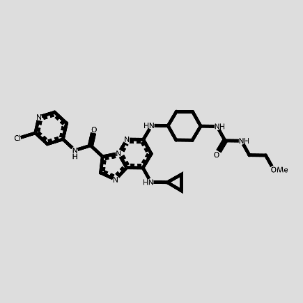 COCCNC(=O)NC1CCC(Nc2cc(NC3CC3)c3ncc(C(=O)Nc4ccnc(Cl)c4)n3n2)CC1